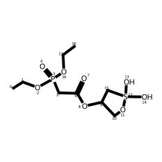 CCOP(=O)(CC(=O)OC1COS(O)(O)C1)OCC